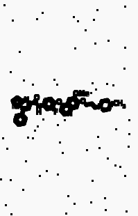 COc1cc2c(Oc3ccc(NC(=O)c4cc(-c5ccccc5)n5nccc5n4)cc3F)ccnc2cc1OCCCN1CCN(C)CC1